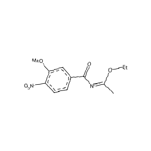 CCO/C(C)=N\C(=O)c1ccc([N+](=O)[O-])c(OC)c1